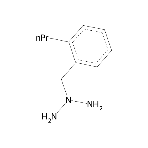 CCCc1ccccc1CN(N)N